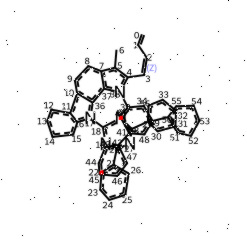 C=C/C=C\c1c(C)c2ccc3c4ccccc4n(-c4nc(-c5ccccc5)nc(-c5ccccc5)n4)c3c2n1-c1cc(-c2ccccc2)cc(-c2ccccc2)c1